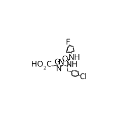 O=C(O)Cc1nc(C(Cc2ccc(Cl)cc2)NC(=O)Nc2ccc(F)cc2)no1